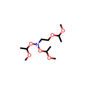 COC(C)OCCN(OC(C)OC)OC(C)OC